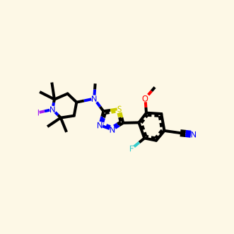 COc1cc(C#N)cc(F)c1-c1nnc(N(C)C2CC(C)(C)N(I)C(C)(C)C2)s1